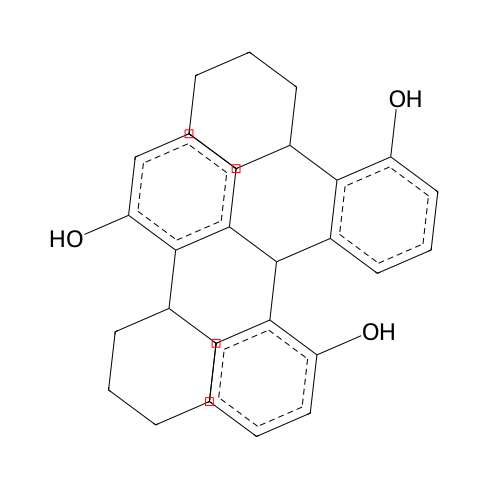 Oc1ccccc1C(c1cccc(O)c1C1CCCCC1)c1cccc(O)c1C1CCCCC1